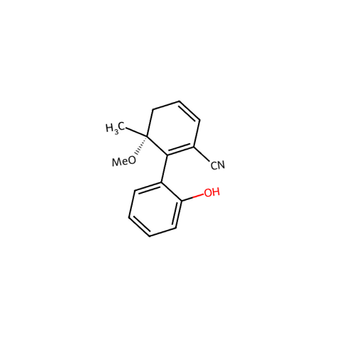 CO[C@]1(C)CC=CC(C#N)=C1c1ccccc1O